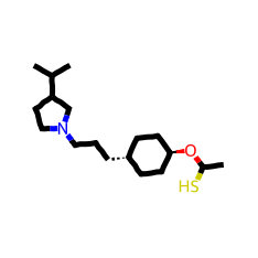 CC(S)O[C@H]1CC[C@H](CCCN2CCC(C(C)C)C2)CC1